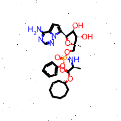 C[C@H](N[P@@](=O)(OC[C@@]1(C)O[C@@H](c2ccc3c(N)ncnn23)[C@H](O)[C@@H]1O)Oc1ccccc1)C(=O)OC1CCCCCCC1